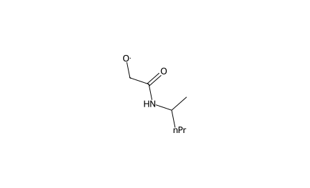 CCCC(C)NC(=O)C[O]